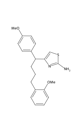 COc1ccc(C(CCCc2ccccc2OC)c2csc(N)n2)cc1